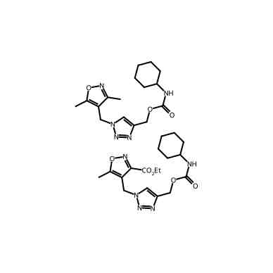 CCOC(=O)c1noc(C)c1Cn1cc(COC(=O)NC2CCCCC2)nn1.Cc1noc(C)c1Cn1cc(COC(=O)NC2CCCCC2)nn1